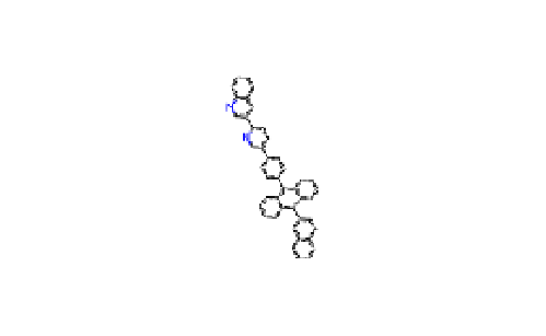 c1ccc2cc(-c3c4ccccc4c(-c4ccc(-c5ccc(-c6cnc7ccccc7c6)nc5)cc4)c4ccccc34)ccc2c1